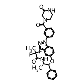 C[C@H](NC(=O)C(C)(F)F)[C@@H](Oc1ccc2c(cnn2-c2cccc(C(=O)N3CCNC(=O)C3)c2)c1)c1ccccc1